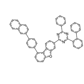 c1ccc(-c2nc(-c3ccc4c(c3)oc3cccc(-c5ccc(-c6ccc7ccccc7c6)cc5)c34)nc(-c3ccccc3-c3ccccc3)n2)cc1